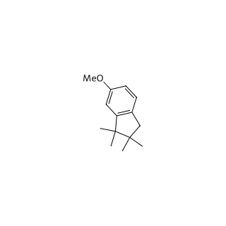 COc1ccc2c(c1)C(C)(C)C(C)(C)C2